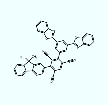 CC1(C)c2ccccc2-c2ccc(-c3c(C#N)cc(C#N)c(-c4cc(-c5nc6ccccc6o5)cc(-c5nc6ccccc6o5)c4)c3C#N)cc21